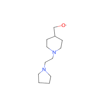 [O]CC1CCN(CCN2CCCC2)CC1